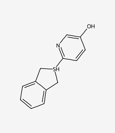 Oc1ccc([SH]2Cc3ccccc3C2)nc1